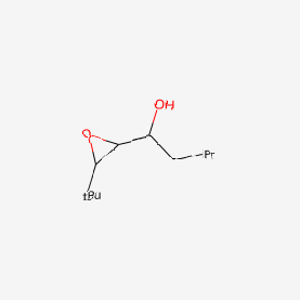 CC(C)CC(O)C1OC1C(C)(C)C